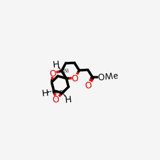 COC(=O)CC1CC[C@@H]2OC3CC2(C[C@H]2O[C@@H]32)O1